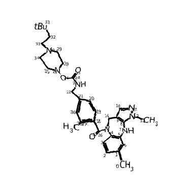 Cc1ccc2c(c1)Nc1c(cnn1C)CN2C(=O)c1ccc(CNC(=O)ON2CCN(CCC(C)(C)C)CC2)cc1C